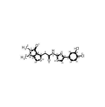 Cn1c(=O)c2c(CC(=O)Nc3nc(-c4ccc(Cl)c(Cl)c4)cs3)scc2n1C